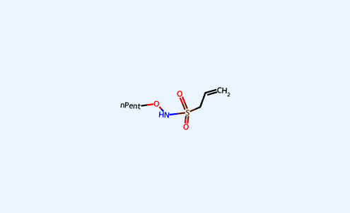 C=CCS(=O)(=O)NOCCCCC